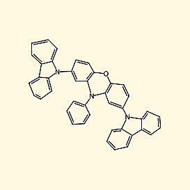 c1ccc(N2c3cc(-n4c5ccccc5c5ccccc54)ccc3Oc3ccc(-n4c5ccccc5c5ccccc54)cc32)cc1